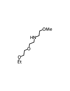 CCOCCOCCNCCOC